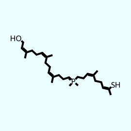 C/C(S)=C/CC/C(C)=C\CCP(C)(C)=CCC/C(C)=C\CC/C(C)=C\CC/C(C)=C\CO